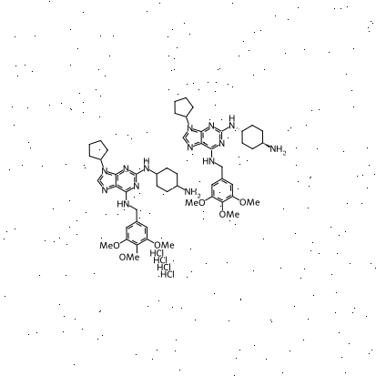 COc1cc(CNc2nc(NC3CCC(N)CC3)nc3c2ncn3C2CCCC2)cc(OC)c1OC.COc1cc(CNc2nc(N[C@H]3CC[C@H](N)CC3)nc3c2ncn3C2CCCC2)cc(OC)c1OC.Cl.Cl.Cl.Cl